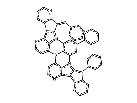 C(=C1\c2ncccc2-c2c1n1c3c(ccnc23)B2c3c-1cc(-c1ccccn1)cc3-n1c3c2ccnc3c2c3ccccc3n(-c3ccccc3)c21)/c1ccccc1